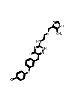 Cc1[nH]cnc1CSCCNc1nc(=O)c(Cc2cccc(Oc3ccc(Cl)cc3)c2)n[nH]1